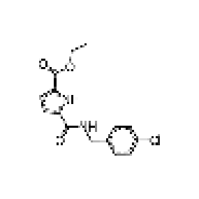 CCOC(=O)c1ccc(C(=O)NCc2ccc(Cl)cc2)[nH]1